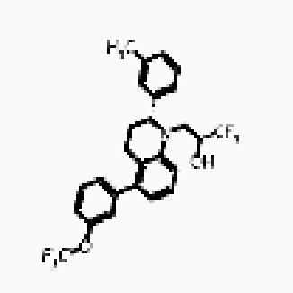 Cc1cccc([C@H]2CCc3c(-c4cccc(OC(F)(F)F)c4)cccc3N2C[C@H](O)C(F)(F)F)c1